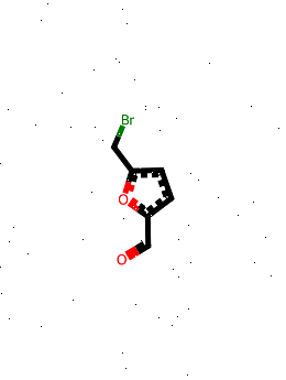 O=Cc1ccc(CBr)o1